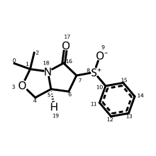 CC1(C)OC[C@@H]2CC([S+]([O-])c3ccccc3)C(=O)N21